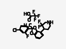 CC1(c2ccc(Cl)cc2F)Oc2cccc(C3CCNCC3(F)F)c2O1.O=C(O)C(F)(F)F